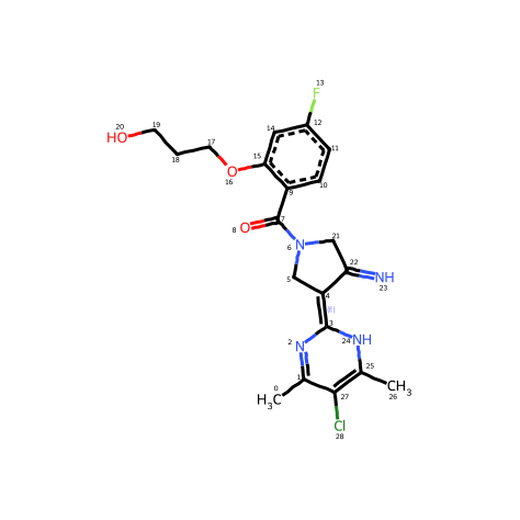 CC1=N/C(=C2\CN(C(=O)c3ccc(F)cc3OCCCO)CC2=N)NC(C)=C1Cl